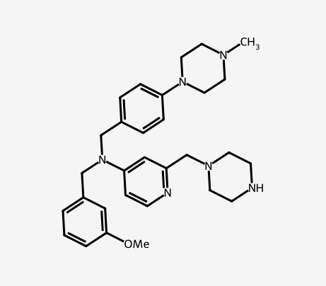 COc1cccc(CN(Cc2ccc(N3CCN(C)CC3)cc2)c2ccnc(CN3CCNCC3)c2)c1